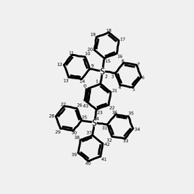 c1c(S(c2ccccc2)(c2ccccc2)c2ccccc2)ccc(S(c2ccccc2)(c2ccccc2)c2ccccc2)c#1